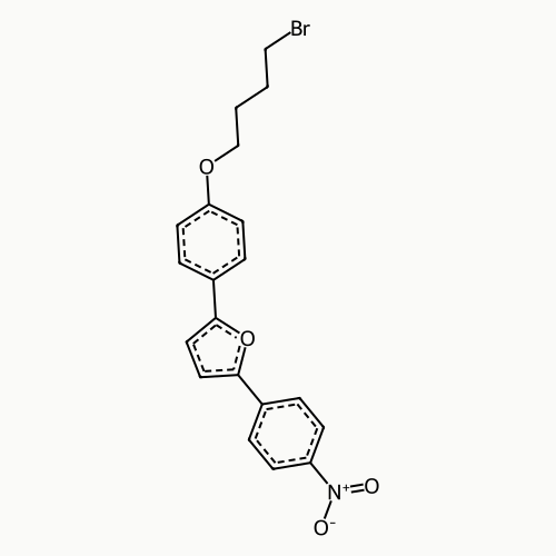 O=[N+]([O-])c1ccc(-c2ccc(-c3ccc(OCCCCBr)cc3)o2)cc1